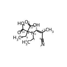 CCN(C=C(C)C#N)C(CC)(C(=O)O)C(=O)O